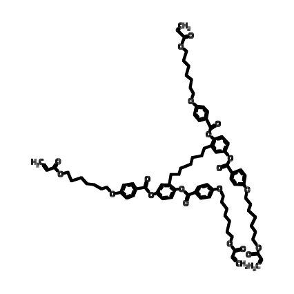 C=CC(=O)OCCCCCCCOc1ccc(C(=O)Oc2ccc(OC(=O)c3ccc(OCCCCCCCOC(=O)C=C)cc3)c(CCCCCCCc3cc(OC(=O)c4ccc(OCCCCCCCOC(=O)C=C)cc4)ccc3OC(=O)c3ccc(OCCCCCCCOC(=O)C=C)cc3)c2)cc1